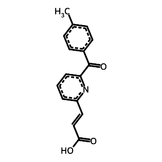 Cc1ccc(C(=O)c2cccc(C=CC(=O)O)n2)cc1